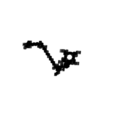 CN(CC(=O)NCCCOCCOCCOCCCNC(=O)c1cc(N=C=S)cc(C(=O)Nc2ccc(CC3CN(CC(=O)O)CCN(CC(=O)O)CCCN(CC(=O)O)CCN(CC(=O)O)C3)cc2)c1)C(=O)CCCCC1SCC2NC(=O)NC21